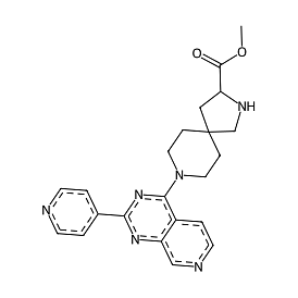 COC(=O)C1CC2(CCN(c3nc(-c4ccncc4)nc4cnccc34)CC2)CN1